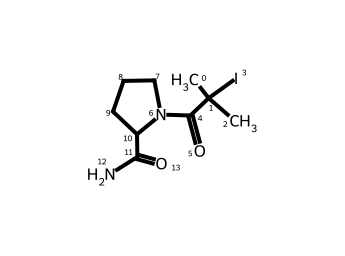 CC(C)(I)C(=O)N1CCCC1C(N)=O